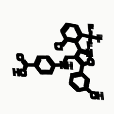 O=C(O)c1ccc(NCc2c(-c3c(Cl)cccc3C(F)(F)F)noc2-c2cccc(O)c2)cc1